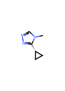 Cn1cnnc1[C@@H]1[CH]C1